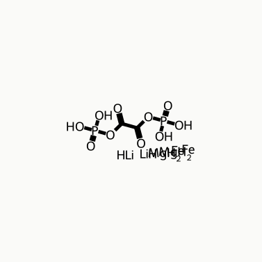 O=C(OP(=O)(O)O)C(=O)OP(=O)(O)O.[Fe].[Fe].[LiH].[LiH].[MgH2].[MgH2]